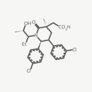 CCC([C@H](C)O)N1C(=O)[C@@](C)(CC(=O)O)CC(c2cccc(Cl)c2)[C@H]1c1ccc(Cl)cc1